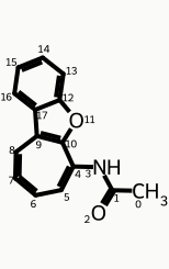 CC(=O)NC1=CC=C=Cc2c1oc1ccccc21